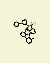 Cc1cccc2c3cccc(C)c3n(-c3cccc4c3C(=O)N(c3cccc(-c5ccccc5)c3)C4O)c12